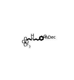 CCCCCCCCCCOc1ccc(CCCNCCC(=O)OC(=O)C(F)(F)F)cc1